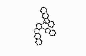 C1=C(c2c(-n3c4ccccc4c4cc5ccccc5cc43)ccc3c2-c2cc4ccccc4cc2C3)Cc2ccccc21